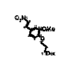 CCCCCCCCCCCCOc1ccc(C=C[N+](=O)[O-])cc1OC